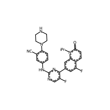 CC(C)n1c(=O)ccc2c(F)cc(-c3nc(Nc4ccc(N5CCNCC5)c(C#N)c4)ncc3F)cc21